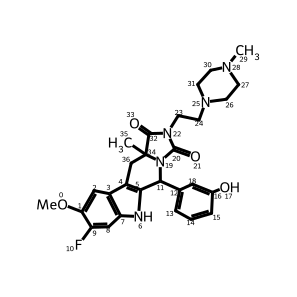 COc1cc2c3c([nH]c2cc1F)C(c1cccc(O)c1)N1C(=O)N(CCN2CCN(C)CC2)C(=O)C1(C)C3